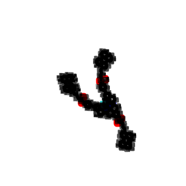 CC1=C2CCc3cc(-c4ccc(OC(=O)CCCc5ccc6c7c(cccc57)C5=CC=CC7=CC=CC6C75)cc4)ccc3C2=[N+]2C1=C(c1c(C)cc(OC(=O)CCCc3ccc4c5cccc6cccc(c7cccc3c74)c65)cc1C)c1c(C)c3c(n1[B-]2(F)F)-c1ccc(-c2ccc(OC(=O)CCCc4ccc5c6c(cccc46)C4=C6C(=CC=CC65)CC=C4)cc2)cc1CC3